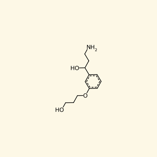 NCCC(O)c1cccc(OCCCO)c1